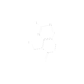 CC(C)CN1C(=O)OCc2cnc(Cl)nc21